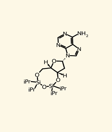 CC(C)[Si]1(C(C)C)OC[C@@H]2O[C@H](n3cnc4c(N)ncnc43)C[C@@H]2O[Si](C(C)C)(C(C)C)O1